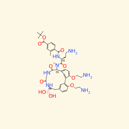 Cc1cc(C(=O)OC(C)(C)C)ccc1C(=O)N[C@@H](CCN)C(=O)N(C)[C@@H]1C(=O)NCC(=O)N[C@H](B(O)O)Cc2ccc(OCCN)c(c2)-c2cc1ccc2OCCN